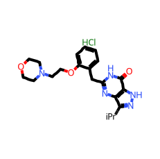 CC(C)c1n[nH]c2c(=O)[nH]c(Cc3ccccc3OCCN3CCOCC3)nc12.Cl